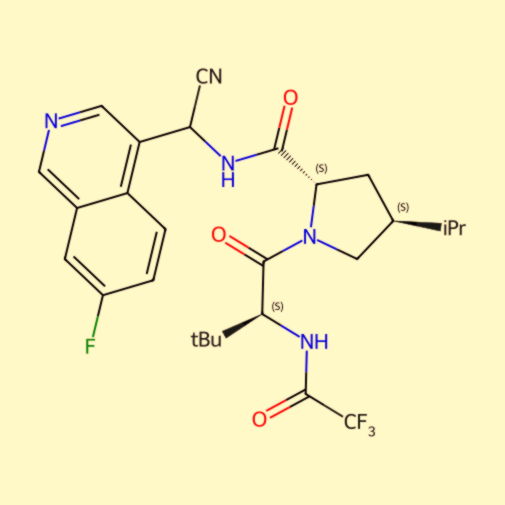 CC(C)[C@@H]1C[C@@H](C(=O)NC(C#N)c2cncc3cc(F)ccc23)N(C(=O)[C@@H](NC(=O)C(F)(F)F)C(C)(C)C)C1